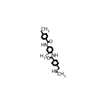 CBCc1ccc(C(=O)Nc2ccc(NC(=O)c3ccc(CC)cc3)cc2C)cc1